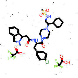 CN1Cc2ccccc2C1CC(=O)NC(Cc1ccc(Cl)cc1)C(=O)N1CCN(C(CNS(C)(=O)=O)C2CCCCC2)CC1.O=C(O)C(F)(F)F.O=C(O)C(F)(F)F